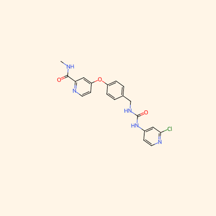 CNC(=O)c1cc(Oc2ccc(CNC(=O)Nc3ccnc(Cl)c3)cc2)ccn1